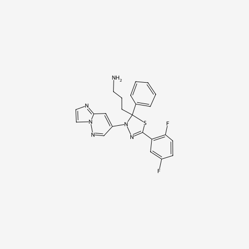 NCCCC1(c2ccccc2)SC(c2cc(F)ccc2F)=NN1c1cnn2ccnc2c1